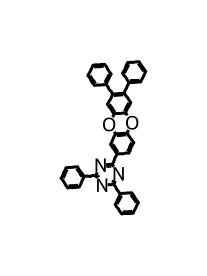 c1ccc(-c2nc(-c3ccccc3)nc(-c3ccc4c(c3)Oc3cc(-c5ccccc5)c(-c5ccccc5)cc3O4)n2)cc1